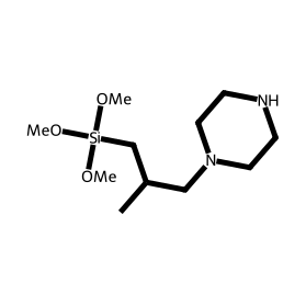 CO[Si](CC(C)CN1CCNCC1)(OC)OC